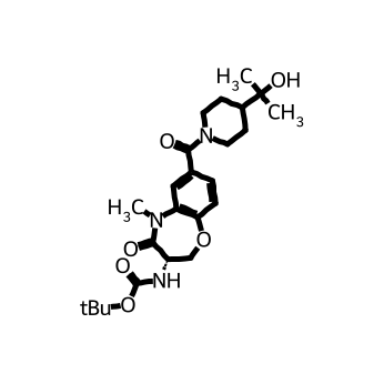 CN1C(=O)[C@@H](NC(=O)OC(C)(C)C)COc2ccc(C(=O)N3CCC(C(C)(C)O)CC3)cc21